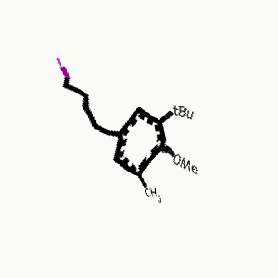 COc1c(C)cc(CCCI)cc1C(C)(C)C